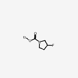 CCOC(=O)N1CCC(F)C1